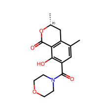 Cc1cc(C(=O)N2CCOCC2)c(O)c2c1C[C@@H](C)OC2=O